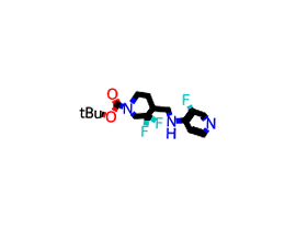 CC(C)(C)OC(=O)N1CCC(CNc2ccncc2F)C(F)(F)C1